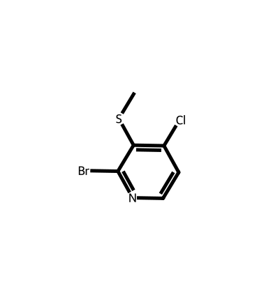 CSc1c(Cl)ccnc1Br